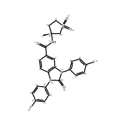 C[C@@]1(NC(=O)c2ccc3c(c2)n(-c2ccc(F)cc2)c(=O)n3-c2ccc(F)cc2)CCS(=O)(=O)C1